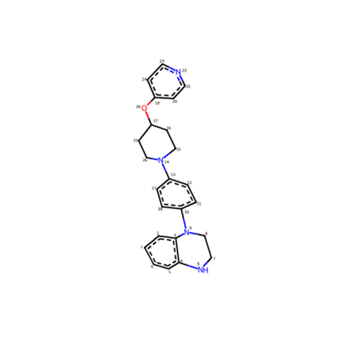 c1ccc2c(c1)NCCN2c1ccc(N2CCC(Oc3ccncc3)CC2)cc1